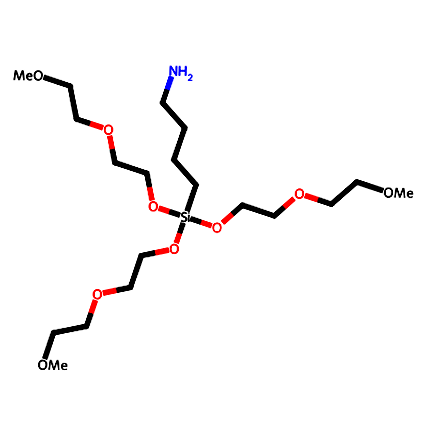 COCCOCCO[Si](CCCCN)(OCCOCCOC)OCCOCCOC